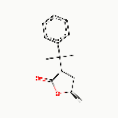 C=C1CC(C(C)(C)c2ccccc2)C(=O)O1